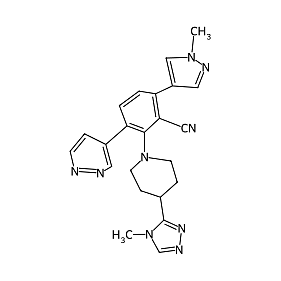 Cn1cc(-c2ccc(-c3ccnnc3)c(N3CCC(c4nncn4C)CC3)c2C#N)cn1